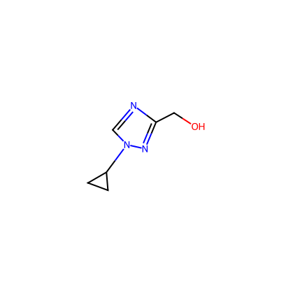 OCc1ncn(C2CC2)n1